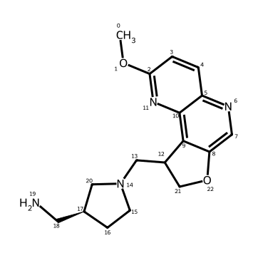 COc1ccc2ncc3c(c2n1)C(CN1CC[C@@H](CN)C1)CO3